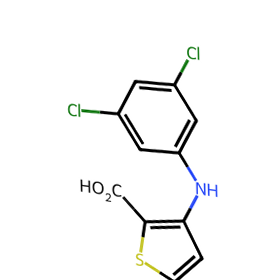 O=C(O)c1sccc1Nc1cc(Cl)cc(Cl)c1